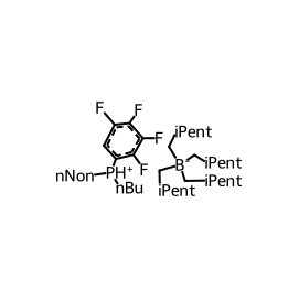 CCCC(C)C[B-](CC(C)CCC)(CC(C)CCC)CC(C)CCC.CCCCCCCCC[PH+](CCCC)c1cc(F)c(F)c(F)c1F